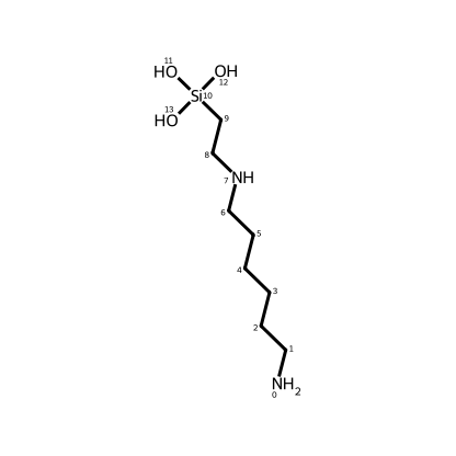 NCCCCCCNCC[Si](O)(O)O